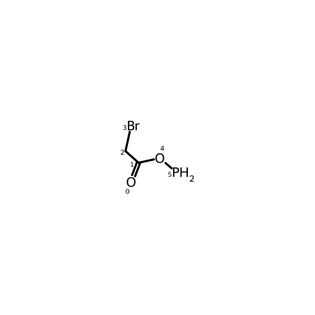 O=C(CBr)OP